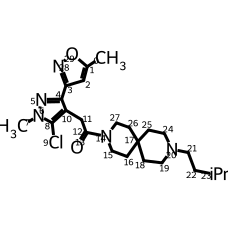 Cc1cc(-c2nn(C)c(Cl)c2CC(=O)N2CCC3(CCN(CCC(C)C)CC3)CC2)no1